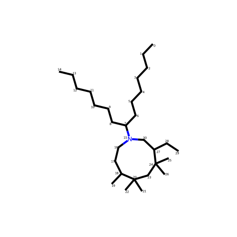 CCCCCCCC(CCCCCCC)N1CCC(C)C(C)(C)CC(C)(C)C(CC)C1